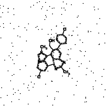 Cc1nc(-c2cccc(Cl)c2)c2c(-c3cncn3C)c(CO)c(-c3ccc(Cl)cc3)cc2n1